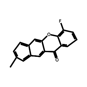 Cc1ccc2cc3oc4c(F)cccc4c(=O)c3cc2c1